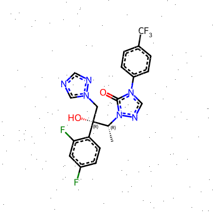 C[C@@H](n1ncn(-c2ccc(C(F)(F)F)cc2)c1=O)[C@](O)(Cn1cncn1)c1ccc(F)cc1F